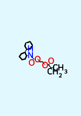 C=C(C)C(=O)OCCOC(=O)Nc1ccccc1-c1ccccc1